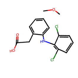 COC.O=C(O)Cc1ccccc1Nc1c(Cl)cccc1Cl